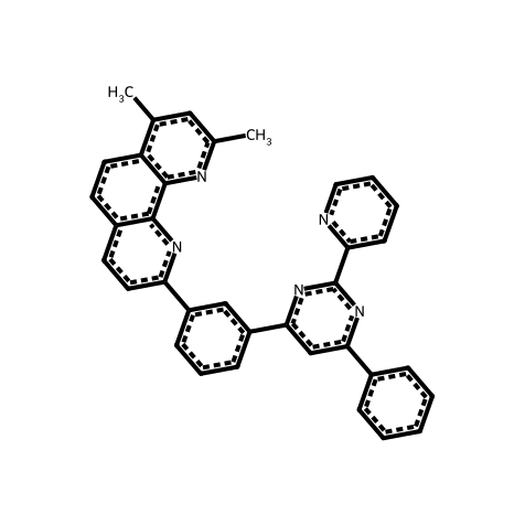 Cc1cc(C)c2ccc3ccc(-c4cccc(-c5cc(-c6ccccc6)nc(-c6ccccn6)n5)c4)nc3c2n1